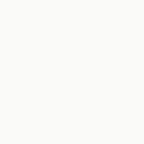 C[C@@H]1C(=O)N(C)c2ccc(Nc3ccc4c(c3)S(=O)(=O)CC4)nc2N1C1CCOCC1